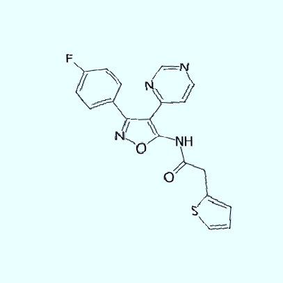 O=C(Cc1cccs1)Nc1onc(-c2ccc(F)cc2)c1-c1ccncn1